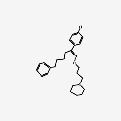 Clc1ccc(C(CCCCc2ccccc2)=NOCCCN2CCCCC2)cc1